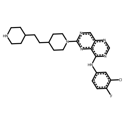 Fc1ccc(Nc2ncnc3cnc(N4CCC(CCC5CCNCC5)CC4)nc23)cc1Cl